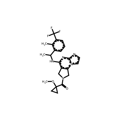 COC1(C(=O)N2Cc3c(NC(C)c4cccc(C(F)(F)F)c4C)nc4nccn4c3C2)CC1